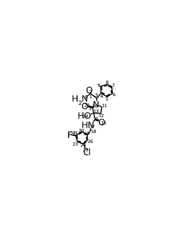 NC(=O)C(c1ccccc1)N1CCC(O)(C(=O)NCc2cc(F)cc(Cl)c2)C1=O